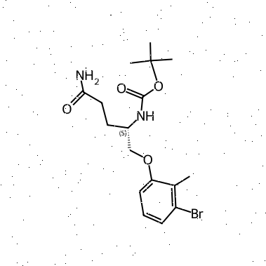 Cc1c(Br)cccc1OC[C@H](CCC(N)=O)NC(=O)OC(C)(C)C